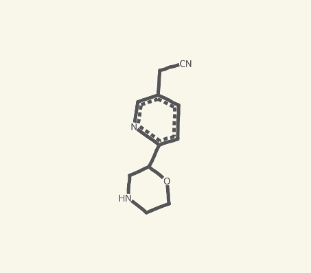 N#CCc1ccc(C2CNCCO2)nc1